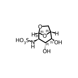 O=S(=O)(O)N[C@H]1[C@@H]2OC[C@@H](O2)[C@@H](O)[C@@H]1O